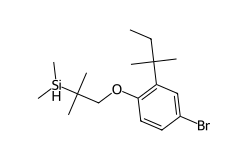 CCC(C)(C)c1cc(Br)ccc1OCC(C)(C)[SiH](C)C